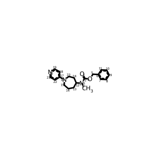 CN(C(=O)OCc1ccccc1)C1CCCN(c2ccncc2)CC1